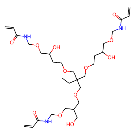 C=CC(=O)NCOCC(O)CCOCC(CC)(COCCC(O)COCNC(=O)C=C)COCC(CO)COCNC(=O)C=C